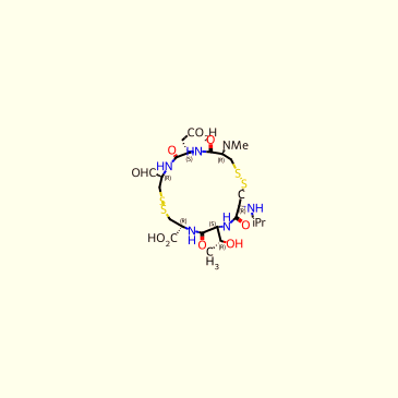 CN[C@H]1CSSC[C@H](NC(C)C)C(=O)N[C@@H]([C@@H](C)O)C(=O)N[C@H](C(=O)O)CSSC[C@@H](C=O)NC(=O)[C@H](CC(=O)O)NC1=O